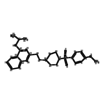 COc1ccc(S(=O)(=O)N2CCN(CCc3nc(OC(C)C)c4ccccc4n3)CC2)cc1